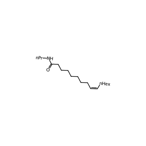 CCCCCC/C=C\CCCCCCCC(=O)NCCC